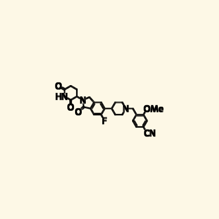 COc1cc(C#N)ccc1CN1CCC(c2cc3c(cc2F)C(=O)N(C2CCC(=O)NC2=O)C3)CC1